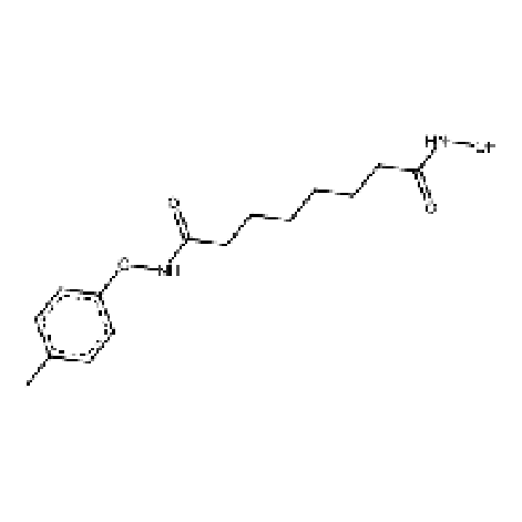 Cc1ccc(ONC(=O)CCCCCCC(=O)NO)cc1